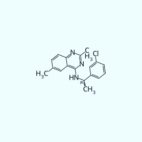 Cc1ccc2nc(C)nc(N[C@H](C)c3cccc(Cl)c3)c2c1